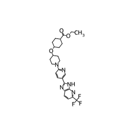 CCOC(=O)C1CCC(OC2CCN(c3ccc(-c4nc5ccc(C(F)(F)F)nc5[nH]4)cn3)CC2)CC1